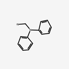 [N]CN(c1ccccc1)c1ccccc1